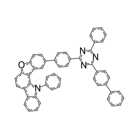 c1ccc(-c2ccc(-c3nc(-c4ccccc4)nc(-c4ccc(-c5ccc6oc7ccc8c9ccccc9n(-c9ccccc9)c8c7c6c5)cc4)n3)cc2)cc1